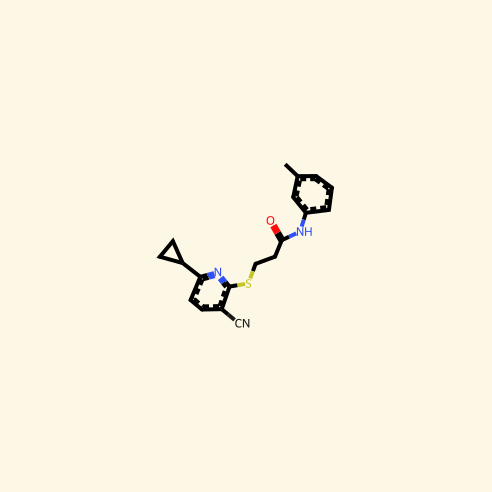 Cc1cccc(NC(=O)CCSc2nc(C3CC3)ccc2C#N)c1